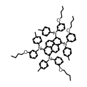 CCCCOc1cccc(N(c2ccc(C)cc2)c2cc(N(c3ccc(C)cc3)c3cccc(OCCCC)c3)c3ccc4c(N(c5ccc(C)cc5)c5cccc(OCCCC)c5)cc(N(c5ccc(C)cc5)c5cccc(OCCCC)c5)c5ccc2c3c54)c1